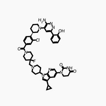 Nc1nnc(-c2ccccc2O)cc1N1CCC[C@H](c2ccc(C(=O)N3CCC(F)(CN4CCC(n5cc(C6CC6)c6cc(N7CCC(=O)NC7=O)cnc65)CC4)CC3)cc2Cl)C1